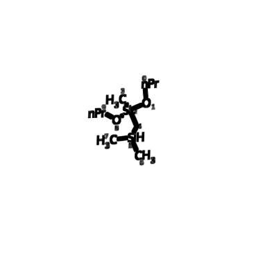 CCCO[Si](C)(C[SiH](C)C)OCCC